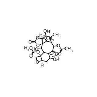 CC(=O)O[C@H]1C(=O)[C@@]2(C)C([C@H](O)[C@]34OC(=O)O[C@H]3C(O)C(C)=C1C4(C)C)[C@]1(OC(C)=O)CO[C@@H]1C[C@@H]2O